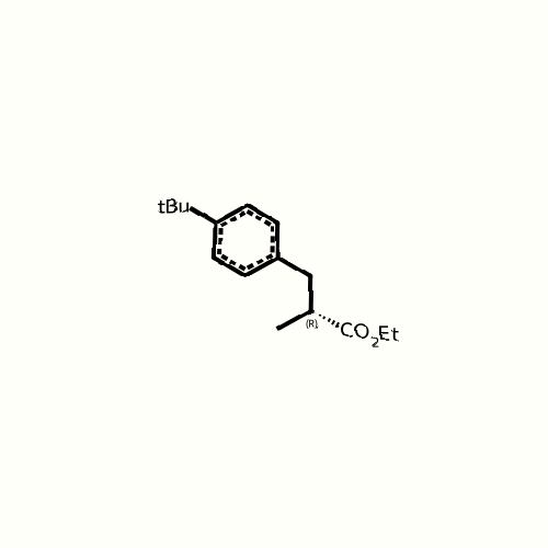 CCOC(=O)[C@H](C)Cc1ccc(C(C)(C)C)cc1